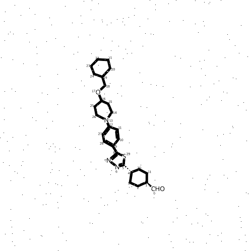 O=C[C@H]1CC[C@H](c2nnc(-c3ccc(N4CCC(OCC5CCCCC5)CC4)cc3)s2)CC1